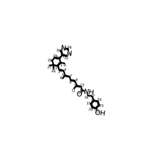 CC1=C(/C=C/C(C)=C/C=C/C(C)=C/C(=O)NCCc2ccc(O)cc2)C(C)(C)CC=C1c1cncnc1